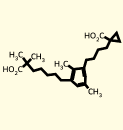 Cc1cc(CCCCCC(C)(C)C(=O)O)c(C)c(CCCCC2(C(=O)O)CC2)c1